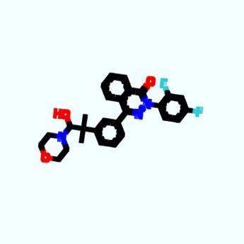 CC(C)(c1cccc(-c2nn(-c3ccc(F)cc3F)c(=O)c3ccccc23)c1)C(O)N1CCOCC1